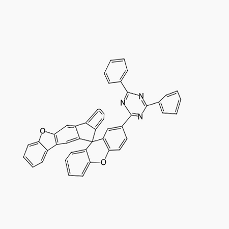 c1ccc(-c2nc(-c3ccccc3)nc(-c3ccc4c(c3)C3(c5ccccc5O4)c4ccccc4-c4cc5oc6ccccc6c5cc43)n2)cc1